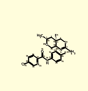 C[C@H]1C[C@@]2(F)CSC(N)=N[C@@]2(c2cc(NC(=O)c3ccc(Cl)cn3)ccc2F)CO1